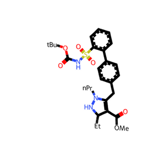 CCCN1NC(CC)C(C(=O)OC)=C1Cc1ccc(-c2ccccc2S(=O)(=O)NC(=O)OC(C)(C)C)cc1